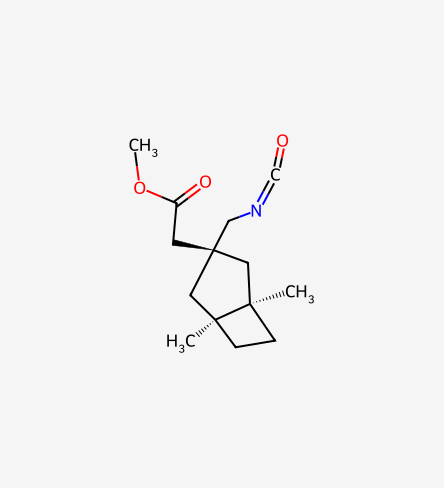 COC(=O)C[C@]1(CN=C=O)C[C@]2(C)CC[C@]2(C)C1